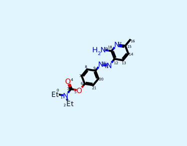 CCN(CC)C(=O)Oc1ccc(/N=N/c2ccc(C)nc2N)cc1